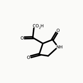 O=C(O)C(=O)C1C(=O)CNC1=O